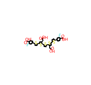 O=C(O)Cc1cc(-c2ccc(-c3ccc(C(=O)O)c(F)c3)s2)sc1-c1ccc(-c2sc(-c3ccc(-c4ccc(C(=O)O)c(F)c4)s3)cc2CC(=O)O)s1